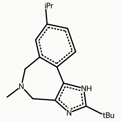 CC(C)c1ccc2c(c1)CN(C)Cc1nc(C(C)(C)C)[nH]c1-2